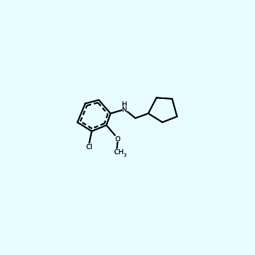 COc1c(Cl)cccc1NCC1CCCC1